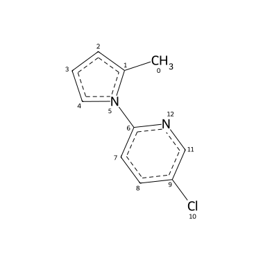 Cc1cccn1-c1ccc(Cl)cn1